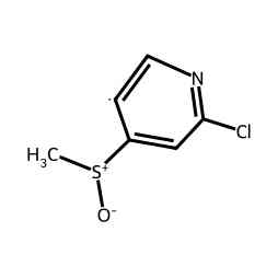 C[S+]([O-])c1[c]cnc(Cl)c1